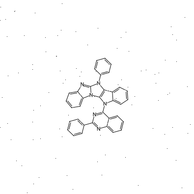 c1ccc(-c2nc(-n3c4ccccc4c4c3n3c5ccccc5nc3n4-c3ccccc3)c3ccccc3n2)cc1